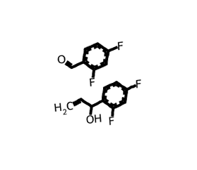 C=CC(O)c1ccc(F)cc1F.O=Cc1ccc(F)cc1F